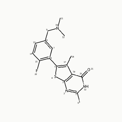 Cc1nc2sc(-c3cc(CN(C)C)ccc3F)c(C)c2c(=O)[nH]1